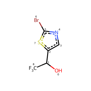 OC(c1cnc(Br)s1)C(F)(F)F